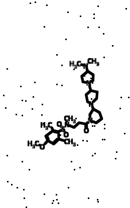 COc1cc(C)c(S(=O)(=O)N(C)CCC(=O)N2CCCC(N3CCC(N4CCC(N(C)C)CC4)CC3)C2)c(C)c1